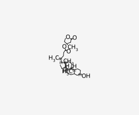 C[C@H](CCC(=O)OC1(C)CCOC(=O)C1)[C@H]1CC[C@H]2[C@@H]3CCC4C[C@H](O)CC[C@]4(C)[C@H]3CC[C@]12C